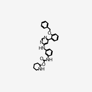 O=C(Nc1cccc(Nc2cc(-c3ccccc3OCc3ccccc3)ncn2)c1)O[C@H]1CCCCN1